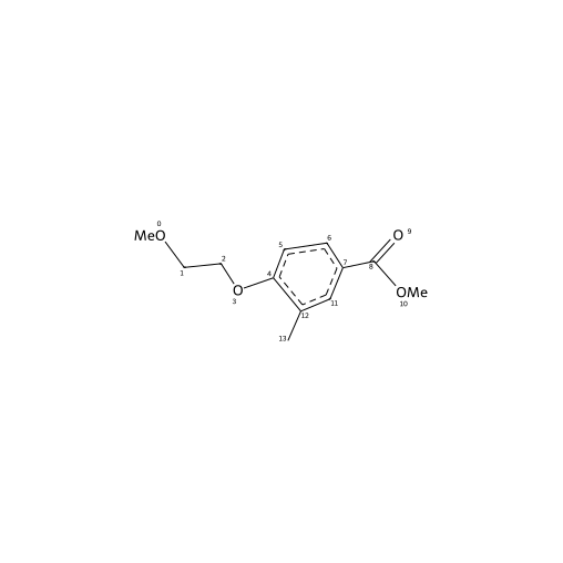 COCCOc1ccc(C(=O)OC)cc1C